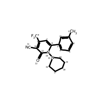 Cc1cccc(-c2cc(C(F)(F)F)c(C#N)c(=O)n2N2CCCCC2)c1